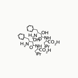 CC(C)CC(NC(=O)[C@@H](O)[C@H](N)Cc1ccccc1)C(=O)O.CC(C)CC(NC(=O)[C@@H](O)[C@H](N)Cc1ccccc1)C(=O)O